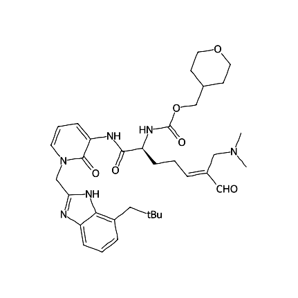 CN(C)C/C(C=O)=C\CC[C@H](NC(=O)OCC1CCOCC1)C(=O)Nc1cccn(Cc2nc3cccc(CC(C)(C)C)c3[nH]2)c1=O